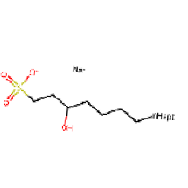 CCCCCCCCCCCC(O)CCS(=O)(=O)[O-].[Na+]